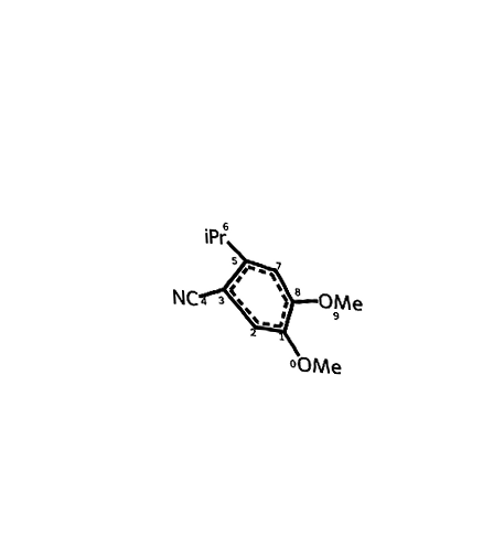 COc1cc(C#N)c(C(C)C)cc1OC